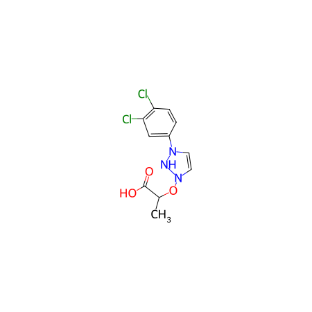 CC(ON1C=CN(c2ccc(Cl)c(Cl)c2)N1)C(=O)O